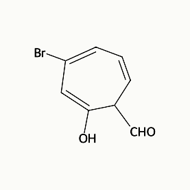 O=CC1C=CC=C(Br)C=C1O